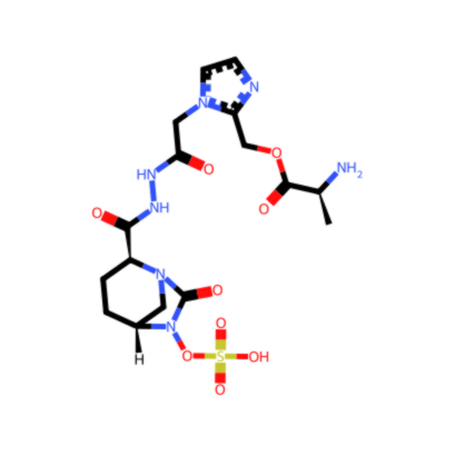 C[C@H](N)C(=O)OCc1nccn1CC(=O)NNC(=O)[C@@H]1CC[C@@H]2CN1C(=O)N2OS(=O)(=O)O